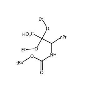 CCCC(NC(=O)OC(C)(C)C)C(OCC)(OCC)C(=O)O